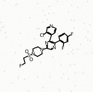 O=S(=O)(CCF)N1CCN(c2cnc(-c3ccc(F)cc3F)c(-c3ccncc3Cl)n2)CC1